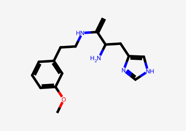 C=C(NCCc1cccc(OC)c1)C(N)Cc1c[nH]cn1